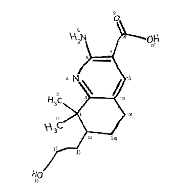 CC1(C)c2nc(N)c(C(=O)O)cc2CCC1CCO